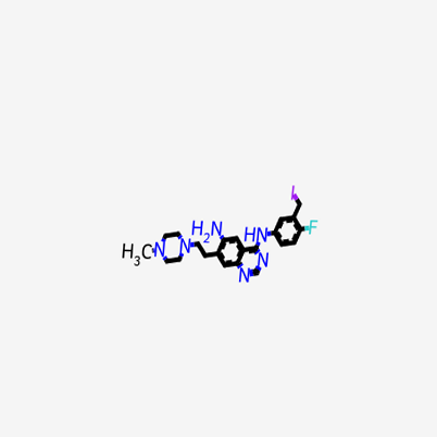 CN1CCN(CCc2cc3ncnc(Nc4ccc(F)c(CI)c4)c3cc2N)CC1